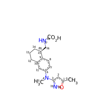 Cc1cc(N(C)c2ccc3c(c2)CCC[C@H]3CNC(=O)O)no1